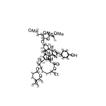 CC[C@H]1CCC[C@H](O[C@H]2CC[C@H](N(C)C)C(C)O2)[C@@H](C)C(=O)C2=C[C@H]3[C@@H]4C[C@H](OC(OC(C)[C@@H](C)OC)[C@H](COC)OC)C[C@H]4c4sc(-c5ccc(O)cc5)nc4[C@H]3[C@@H]2CC(=O)O1